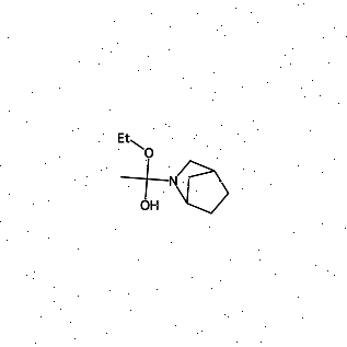 CCOC(C)(O)N1CC2CCC1C2